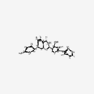 C[C@H](NC(=O)c1cnc(-c2cccnn2)nc1O)c1ccc(-c2ccc(F)nc2)cc1